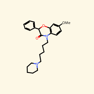 COc1ccc2c(c1)OC(c1ccccc1)C(=O)N2CCCCCN1CCCCC1